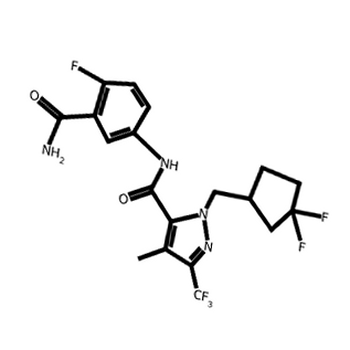 Cc1c(C(F)(F)F)nn(CC2CCC(F)(F)C2)c1C(=O)Nc1ccc(F)c(C(N)=O)c1